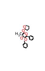 Cc1c(OC2CCCCO2)oc(-c2ccccc2)c(OCc2ccccc2)c1=O